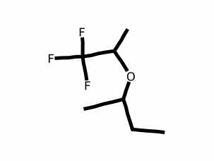 CCC(C)OC(C)C(F)(F)F